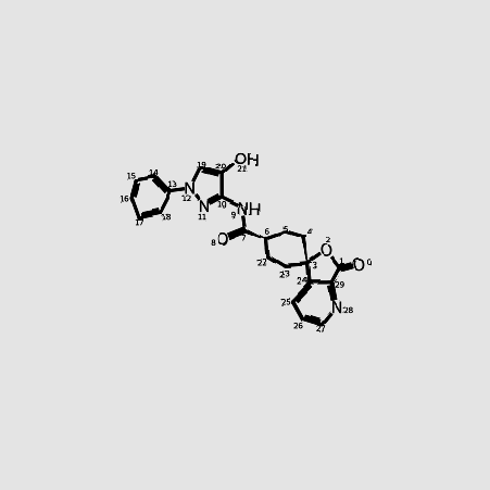 O=C1O[C@]2(CC[C@H](C(=O)Nc3nn(-c4ccccc4)cc3O)CC2)c2cccnc21